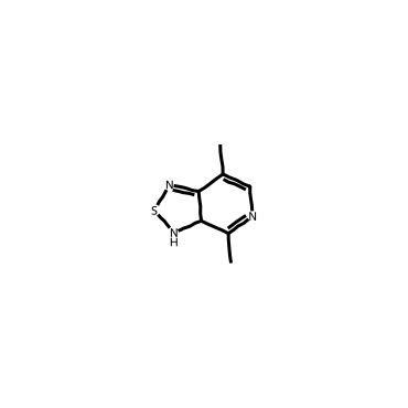 CC1=CN=C(C)C2NSN=C12